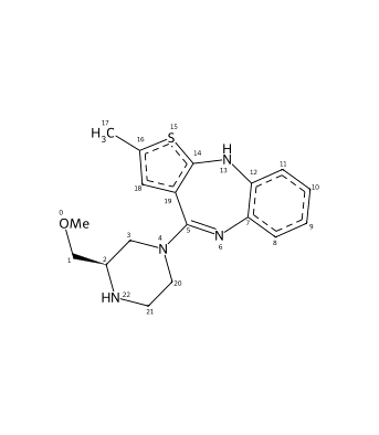 COC[C@H]1CN(C2=Nc3ccccc3Nc3sc(C)cc32)CCN1